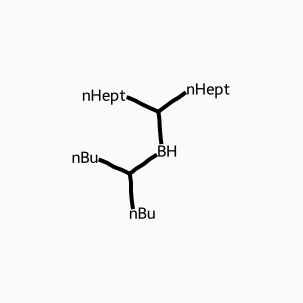 CCCCCCCC(BC(CCCC)CCCC)CCCCCCC